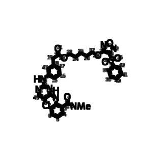 CNC(=O)c1ccccc1Nc1nc(Nc2cccc(CC(=O)OCCCCCOc3nonc3S(=O)(=O)c3ccccc3)c2)ncc1Cl